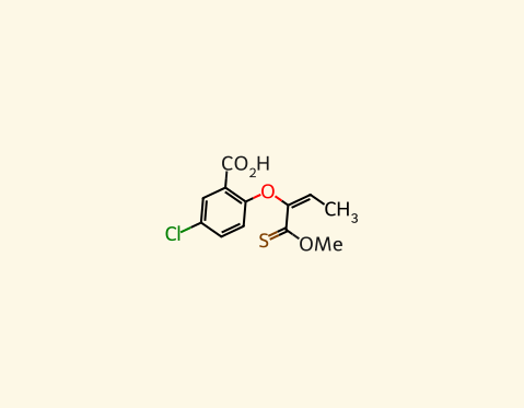 CC=C(Oc1ccc(Cl)cc1C(=O)O)C(=S)OC